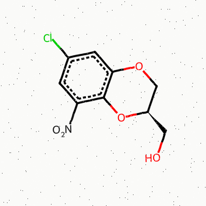 O=[N+]([O-])c1cc(Cl)cc2c1O[C@H](CO)CO2